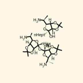 CCCCCCC[C@]1(O)O[C@H]([C@H](C)N)[C@@H]2OC(C)(C)O[C@@H]21.CCCCCC[C@]1(O[C@@]2(CCCC)O[C@H]([C@H](C)N)[C@@H]3OC(C)(C)O[C@@H]32)O[C@H]([C@H](C)N)[C@@H]2OC(C)(C)O[C@@H]21